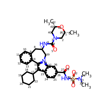 C[C@@H]1CN(C(=O)NC2Cc3ccccc3-c3c(C4CCCCC4)c4ccc(C(=O)NS(=O)(=O)N(C)C)cc4n3C2)C[C@H](C)O1